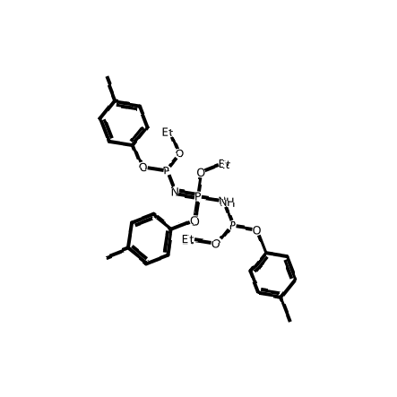 CCOP(N=P(NP(OCC)Oc1ccc(C)cc1)(OCC)Oc1ccc(C)cc1)Oc1ccc(C)cc1